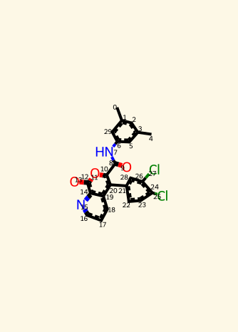 Cc1cc(C)cc(NC(=O)c2oc(=O)c3ncccc3c2-c2ccc(Cl)c(Cl)c2)c1